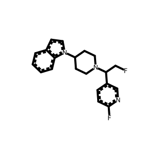 FCC(c1ccc(F)nc1)N1CCC(n2ccc3ccccc32)CC1